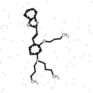 CCCCOc1cc(N(CCCC)CCCC)ccc1C=Cc1nc2ccccc2o1